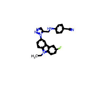 CCn1c2ccc(F)cc2c2cc(-n3nncc3CNc3ccc(C#N)cc3)ccc21